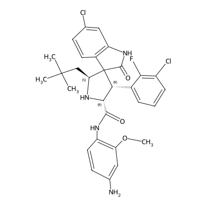 COc1cc(N)ccc1NC(=O)[C@@H]1N[C@@H](CC(C)(C)C)C2(C(=O)Nc3cc(Cl)ccc32)[C@@H]1c1cccc(Cl)c1F